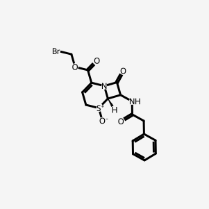 O=C(Cc1ccccc1)NC1C(=O)N2C(C(=O)OCBr)=CC[S+]([O-])[C@@H]12